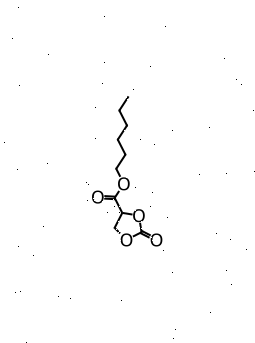 CCCCCCOC(=O)C1COC(=O)O1